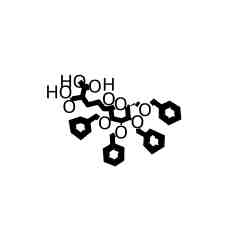 O=C(O)C(CCCC1(O)O[C@H](COCc2ccccc2)[C@@H](OCc2ccccc2)[C@H](OCc2ccccc2)[C@@H]1OCc1ccccc1)C(=O)O